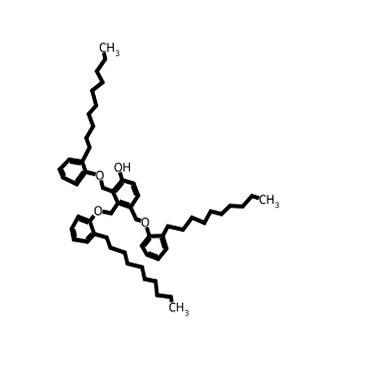 CCCCCCCCCCc1ccccc1OCc1ccc(O)c(COc2ccccc2CCCCCCCCCC)c1COc1ccccc1CCCCCCCCCC